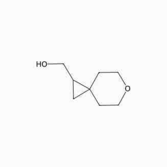 OCC1CC12CCOCC2